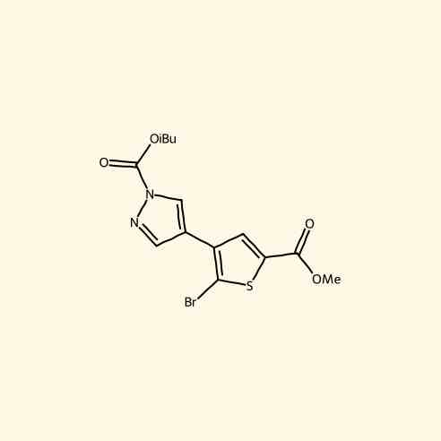 COC(=O)c1cc(-c2cnn(C(=O)OCC(C)C)c2)c(Br)s1